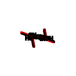 CCCCCCCCCCCCC(O)CN(CC(O)CCCCCCCCCCCC)C(C)CCSSCCN1CCN(CCOC(=O)CCCCN(CC(O)CCCCCCCCCC)CC(O)CCCCCCCCCC)CC1